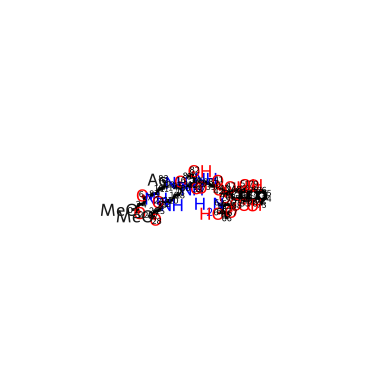 COC(=O)CCC(=O)NCCCCC(NCC(=O)[C@H](CCCCNC(=O)CCC(=O)OC)NCC(=O)[C@H](NC(=O)CCC(=O)OCC(=O)[C@]1(O)Cc2c(O)c3c(c(O)c2[C@@H](OC2CC(N)C(O)C(C)O2)C1)C(=O)c1c(C)cccc1C3=O)C(C)O)C(C)=O